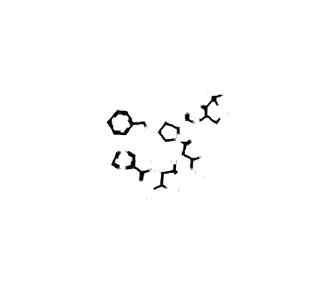 CCC(NC(=O)[C@@H]1C[C@@H](OCc2ccccc2)CN1C(=O)[C@@H](NC(=O)[C@@H](NC(=O)c1cnccn1)C(C)C)C(C)C)C(=O)C(F)(F)F